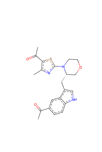 CC(=O)c1ccc2[nH]cc(C[C@H]3COCCN3c3nc(C)c(C(C)=O)s3)c2c1